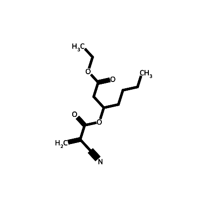 C=C(C#N)C(=O)OC(CCCC)CC(=O)OCC